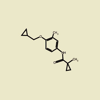 Cc1cc(NC(=O)C2(C)CC2)ccc1OCC1CC1